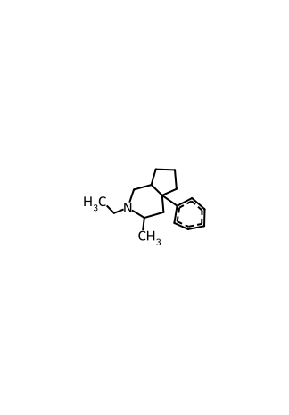 CCN1CC2CCCC2(c2ccccc2)CC1C